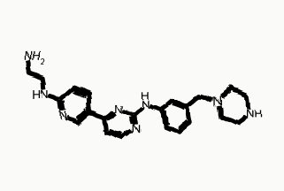 NCCNc1ccc(-c2ccnc(Nc3cccc(CN4CCNCC4)c3)n2)cn1